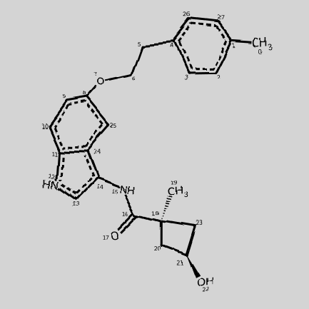 Cc1ccc(CCOc2ccc3[nH]cc(NC(=O)[C@]4(C)C[C@H](O)C4)c3c2)cc1